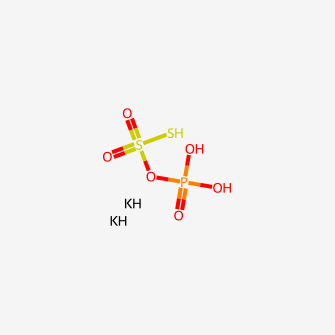 O=P(O)(O)OS(=O)(=O)S.[KH].[KH]